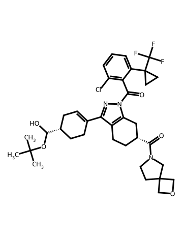 CC(C)(C)OC(O)[C@@H]1CC=C(c2nn(C(=O)c3c(Cl)cccc3C3(C(F)(F)F)CC3)c3c2CC[C@@H](C(=O)N2CCC4(COC4)C2)C3)CC1